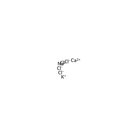 [Ca+2].[Cl-].[Cl-].[Cl-].[Cl-].[K+].[Na+]